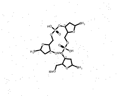 BC1C[C@H](OC)C(COP(=O)(O)O[C@H]2CC(B)OC2COP(=O)(O)O[C@H]2CC(B)OC2COC)O1